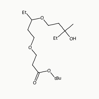 CCC(CCOCCC(=O)OC(C)(C)C)OCCC(C)(O)CC